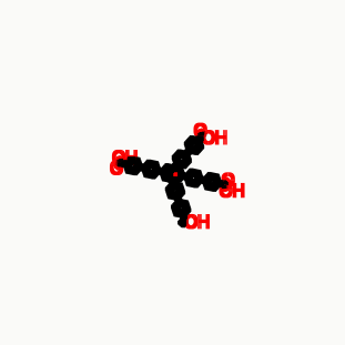 C=C(O)c1ccc(-c2ccc(C34CC5(c6ccc(-c7ccc(C(=O)O)cc7)cc6)CC(c6ccc(-c7ccc(C(=O)O)cc7)cc6)(C3)CC(c3ccc(-c6ccc(C(=O)O)cc6)cc3)(C4)C5)cc2)cc1